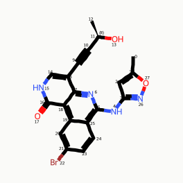 Cc1cc(Nc2nc3c(C#C[C@@H](C)O)c[nH]c(=O)c3c3cc(Br)ccc23)no1